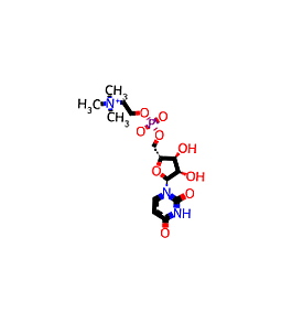 C[N+](C)(C)CCOP(=O)([O-])OC[C@H]1O[C@@H](n2ccc(=O)[nH]c2=O)[C@H](O)[C@@H]1O